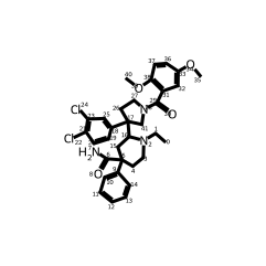 CCN1CCC(C(N)=O)(c2ccccc2)CC1C1(c2ccc(Cl)c(Cl)c2)CCN(C(=O)c2cc(OC)ccc2OC)C1